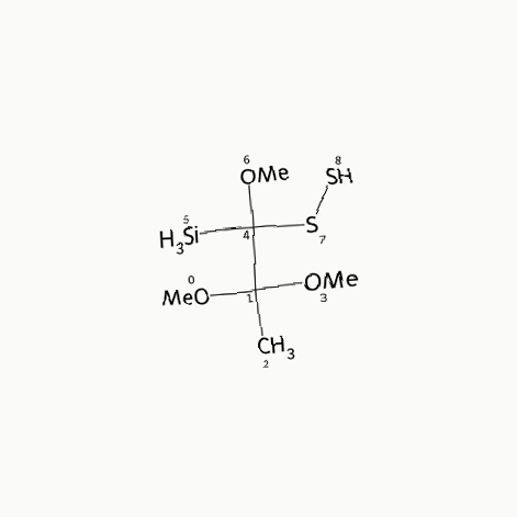 COC(C)(OC)C([SiH3])(OC)SS